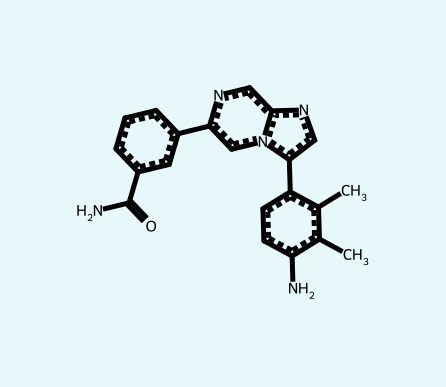 Cc1c(N)ccc(-c2cnc3cnc(-c4cccc(C(N)=O)c4)cn23)c1C